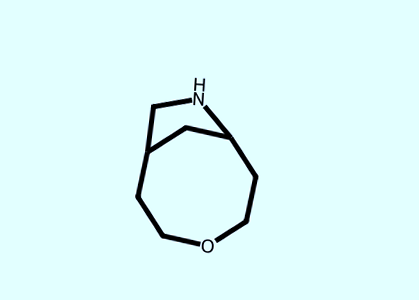 C1CC2CNC(CCO1)C2